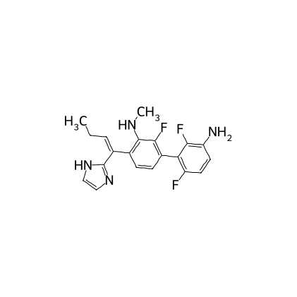 CC/C=C(\c1ncc[nH]1)c1ccc(-c2c(F)ccc(N)c2F)c(F)c1NC